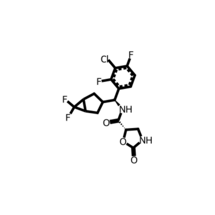 O=C1NC[C@@H](C(=O)N[C@H](c2ccc(F)c(Cl)c2F)C2CC3C(C2)C3(F)F)O1